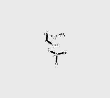 NCC(=O)O.O.[AlH3].[Cl][Zr]([Cl])[Cl]